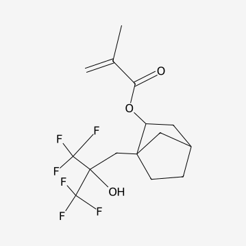 C=C(C)C(=O)OC1CC2CCC1(CC(O)(C(F)(F)F)C(F)(F)F)C2